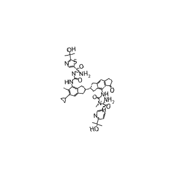 Cc1c(C2CC2)cc2c(c1NC(=O)N=S(N)(=O)c1cnc(C(C)(C)O)s1)CC(C1Cc3cc4c(c(NC(=O)N(C)[SH](N)(=O)c5ccc(C(C)(C)O)nc5)c3C1)C(=O)CC4)C2